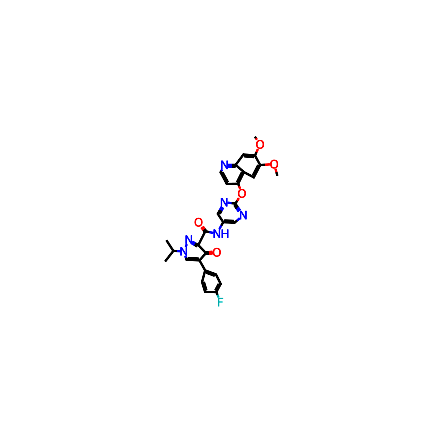 COc1cc2nccc(Oc3ncc(NC(=O)c4nn(C(C)C)cc(-c5ccc(F)cc5)c4=O)cn3)c2cc1OC